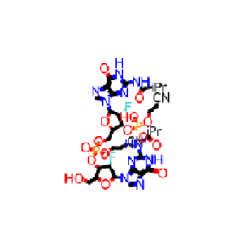 CC(C)C(=O)Nc1nc2c(ncn2C2OC(CO)C(OP(=O)(OCCC#N)OCC3OC(n4cnc5c(=O)[nH]c(NC(=O)C(C)C)nc54)[C@H](F)[C@@H]3OP(=O)(O)OCCC#N)[C@H]2F)c(=O)[nH]1